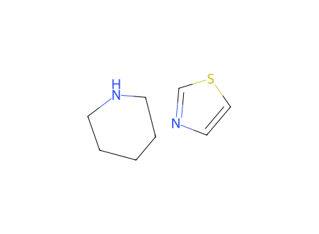 C1CCNCC1.c1cscn1